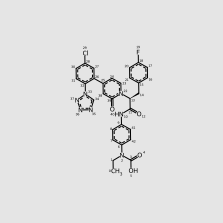 CCN(C(=O)O)c1ccc(NC(=O)[C@H](Cc2ccc(F)cc2)n2ccc(-c3cc(Cl)ccc3-n3cnnn3)cc2=O)cc1